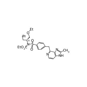 CCOC[C@H](CC(C)C)N(C(=O)OCC)S(=O)(=O)c1ccc(Cc2nccc3[nH]c(C)nc23)cc1